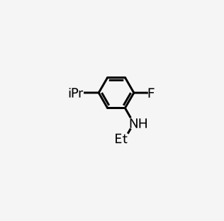 CCNc1cc(C(C)C)ccc1F